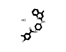 Cc1cc(C(=O)N[C@H]2CC[C@@H](Nc3cc(C)c4ccccc4n3)CC2)ccc1F.Cl